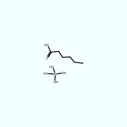 CCCCCC(=O)O.O[Si](O)(O)O